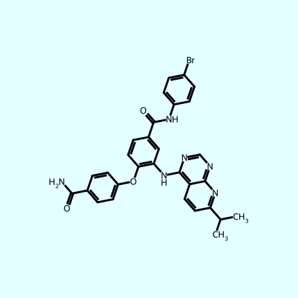 CC(C)c1ccc2c(Nc3cc(C(=O)Nc4ccc(Br)cc4)ccc3Oc3ccc(C(N)=O)cc3)ncnc2n1